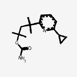 CC(C)(CC(C)(C)c1cccc(C2CC2)n1)OC(N)=O